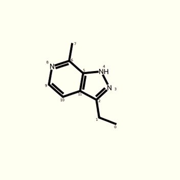 CCc1n[nH]c2c(C)nccc12